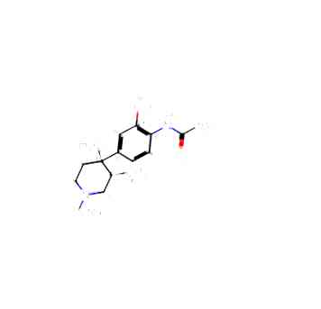 CCCCCCN1CC[C@](C)(c2ccc(NC(=O)C(C)(C)C)c(O)c2)[C@@H](C)C1